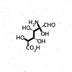 N[C@](O)(C=O)[C@@H](O)[C@H](O)[C@H](O)C(=O)O